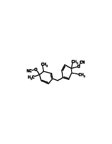 CC1C=C(CC2=CC(C)C(C)(OC#N)C=C2)C=CC1(C)OC#N